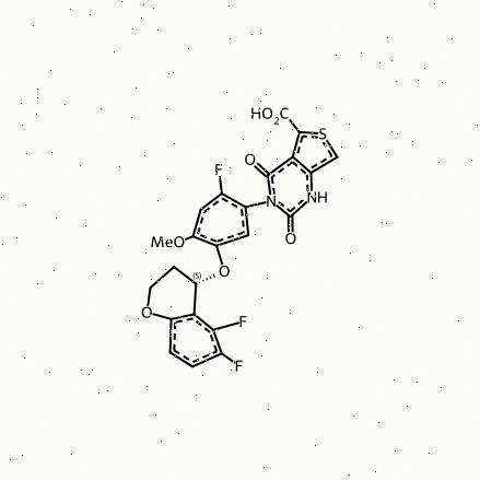 COc1cc(F)c(-n2c(=O)[nH]c3csc(C(=O)O)c3c2=O)cc1O[C@H]1CCOc2ccc(F)c(F)c21